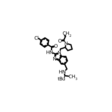 C=CC(=O)N1CCCC1Cn1c(NC(=O)c2ccc(Cl)cc2)nc2cc(CN[C@@H](C)C(C)(C)C)ccc21